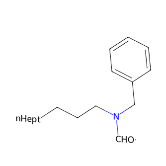 CCCCCCCCCCN([C]=O)Cc1ccccc1